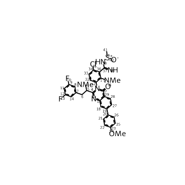 CNc1c(-n2c(C(Cc3cc(F)cc(F)c3)NC)nc3cc(-c4ccc(OC)cc4)ccc3c2=O)ccc(Cl)c1C(=N)N[S+](C)[O-]